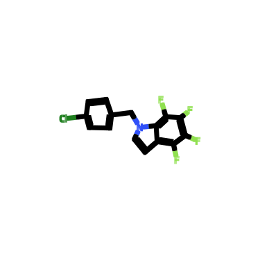 Fc1c(F)c(F)c2c(ccn2Cc2ccc(Cl)cc2)c1F